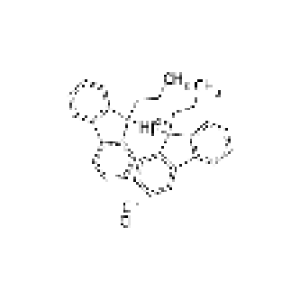 CCC[C]1([Hf+2][C]2(CCC)c3ccccc3-c3ccccc32)c2ccccc2-c2ccccc21.[Cl-].[Cl-]